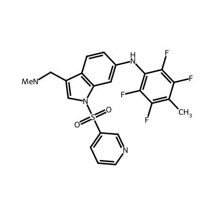 CNCc1cn(S(=O)(=O)c2cccnc2)c2cc(Nc3c(F)c(F)c(C)c(F)c3F)ccc12